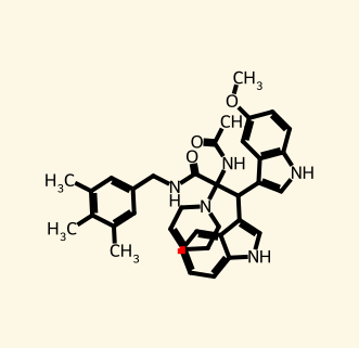 COc1ccc2[nH]cc(C(c3c[nH]c4ccccc34)C(NC(C)=O)(C(=O)NCc3cc(C)c(C)c(C)c3)N3CC=CCC3)c2c1